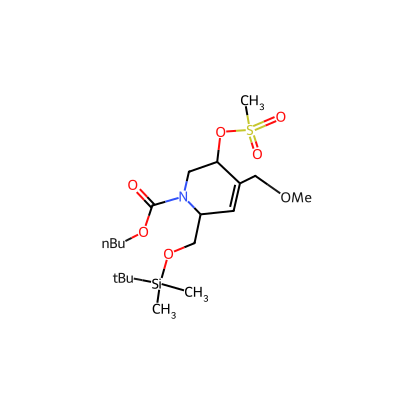 CCCCOC(=O)N1CC(OS(C)(=O)=O)C(COC)=CC1CO[Si](C)(C)C(C)(C)C